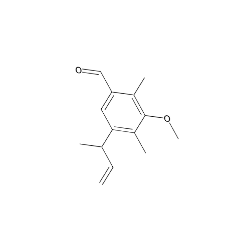 C=CC(C)c1cc(C=O)c(C)c(OC)c1C